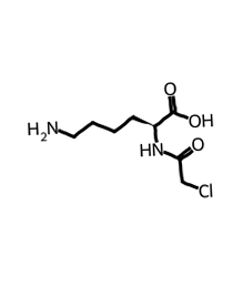 NCCCC[C@H](NC(=O)CCl)C(=O)O